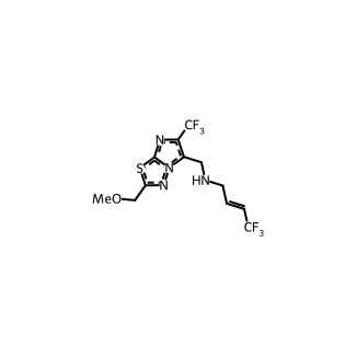 COCc1nn2c(CNCC=CC(F)(F)F)c(C(F)(F)F)nc2s1